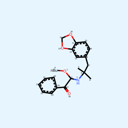 CCCCOC(NC(C)(C)Cc1ccc2c(c1)OCO2)C(=O)c1ccccc1